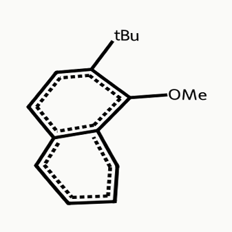 COc1c(C(C)(C)C)ccc2ccccc12